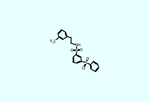 O=S(=O)(NCCc1cccc(C(F)(F)F)c1)c1cccc(S(=O)(=O)c2ccccc2)c1